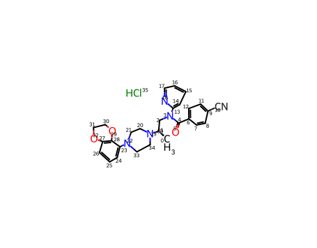 C[C@H](CN(C(=O)c1ccc(C#N)cc1)c1ccccn1)N1CCN(c2cccc3c2OCCO3)CC1.Cl